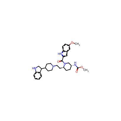 COC(=O)N[C@@H]1CC[C@@H](CCN2CCC(C3CNc4ccccc43)CC2)N(C(=O)c2cc3cc(OC)ccc3[nH]2)C1